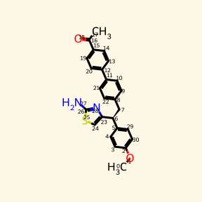 COc1ccc([C@H](Cc2ccc(-c3ccc(C(C)=O)cc3)cc2)c2csc(N)n2)cc1